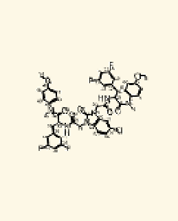 COc1ccc(N(C)C(=O)C(Cc2cc(F)cc(F)c2)NC(=O)Cn2c(=O)n(CC(=O)N[C@@H](Cc3cc(F)cc(F)c3)C(=O)N(C)c3ccc(OC)cc3)c3ccc(Cl)cc32)cc1